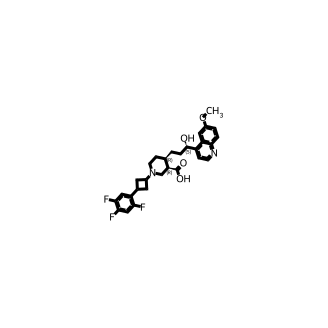 COc1ccc2nccc([C@@H](O)CC[C@@H]3CCN(C4CC(c5cc(F)c(F)cc5F)C4)C[C@@H]3C(=O)O)c2c1